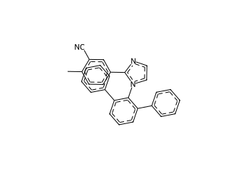 Cc1ccc(-c2nccn2-c2c(-c3ccccc3)cccc2-c2ccccc2)cc1C#N